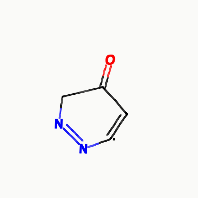 O=C1C=[C]N=NC1